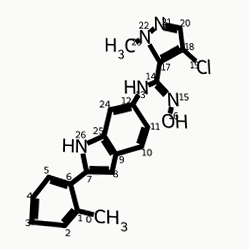 Cc1ccccc1-c1cc2ccc(N/C(=N\O)c3c(Cl)cnn3C)cc2[nH]1